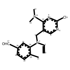 C=CN(Cc1cnc(Cl)nc1N(C)C)c1cc(C=O)ccc1C